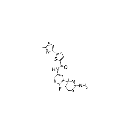 Cc1nc(-c2ccc(C(=O)Nc3ccc(F)c(C4(C)CCSC(N)=N4)c3)s2)cs1